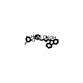 OC1(c2cc(C[N+]34CCC(CC3)[C@@H](Oc3cccc(F)c3)C4)on2)c2ccccc2-c2ccccc21